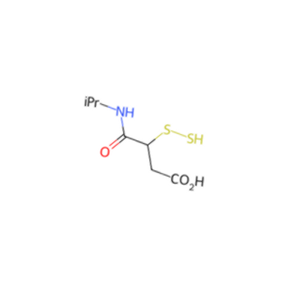 CC(C)NC(=O)C(CC(=O)O)SS